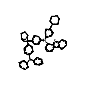 c1ccc(N(c2ccccc2)c2ccc(C3(c4ccc(N(c5ccc(C6CCCCC6)cc5)c5cccc6c5sc5ccccc56)cc4)CC4CCC3C4)cc2)cc1